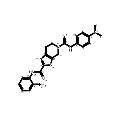 CN(C)c1ccc(NC(=S)N2CCc3nc(C(=O)Nc4ccccc4N)sc3C2)cc1